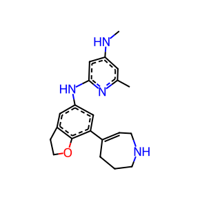 CNc1cc(C)nc(Nc2cc3c(c(C4=CCNCCC4)c2)OCC3)c1